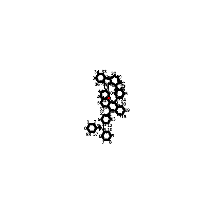 c1ccc(N(c2ccccc2)c2ccc(-c3c4ccccc4c(-c4ccc5sc6ccc7c8ccccc8n(-c8ccccc8)c7c6c5c4)c4ccccc34)cc2)cc1